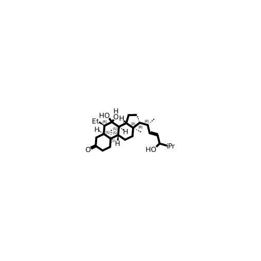 CC[C@@H]1[C@@H]2CC(=O)CC[C@]2(C)[C@H]2CC[C@]3(C)[C@@H]([C@H](C)C=CC(O)C(C)C)CC[C@H]3[C@@H]2C1(O)O